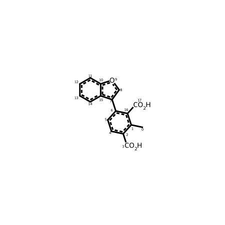 Cc1c(C(=O)O)ccc(-c2coc3ccccc23)c1C(=O)O